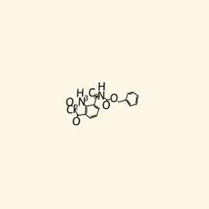 C[C@@H](NC(=O)OCc1ccccc1)c1cccc(C(=O)Cl)c1[N+](=O)[O-]